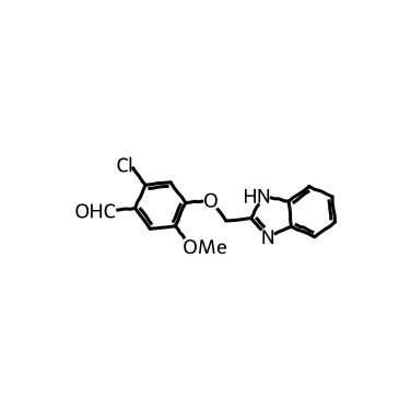 COc1cc(C=O)c(Cl)cc1OCc1nc2ccccc2[nH]1